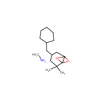 CC1(C)CC(CC2CCCCC2)CC23OC12O3.NC(=O)O